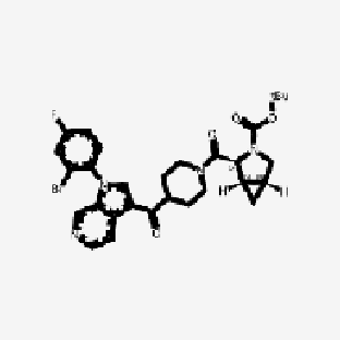 CC(C)(C)OC(=O)N1C[C@@H]2C[C@@H]2[C@H]1C(=O)N1CCC(C(=O)c2cn(-c3ccc(F)cc3Br)c3cnccc23)CC1